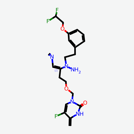 C=N/C=C(/CCOCN1C=C(F)C(=C)NC1=O)N(N)CCc1cccc(OCC(F)F)c1